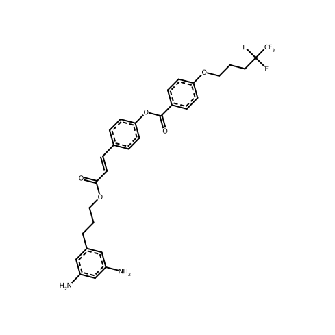 Nc1cc(N)cc(CCCOC(=O)C=Cc2ccc(OC(=O)c3ccc(OCCCC(F)(F)C(F)(F)F)cc3)cc2)c1